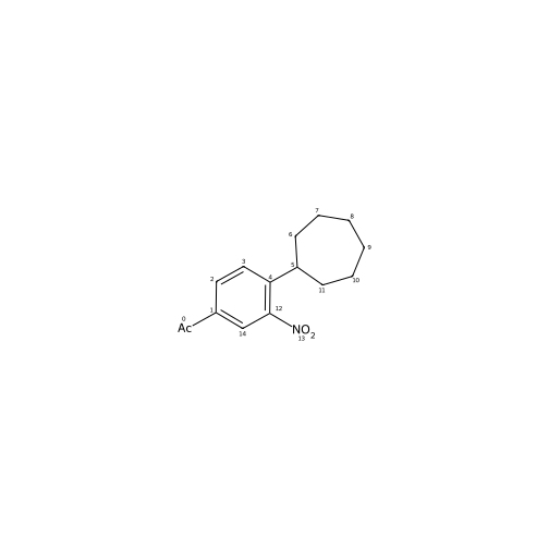 CC(=O)c1ccc(C2CCCCCC2)c([N+](=O)[O-])c1